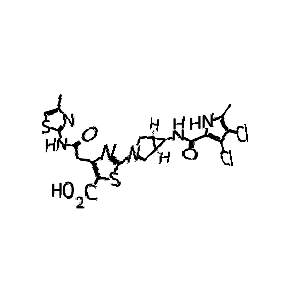 Cc1csc(NC(=O)Cc2nc(N3C[C@@H]4[C@H](C3)[C@@H]4NC(=O)c3[nH]c(C)c(Cl)c3Cl)sc2C(=O)O)n1